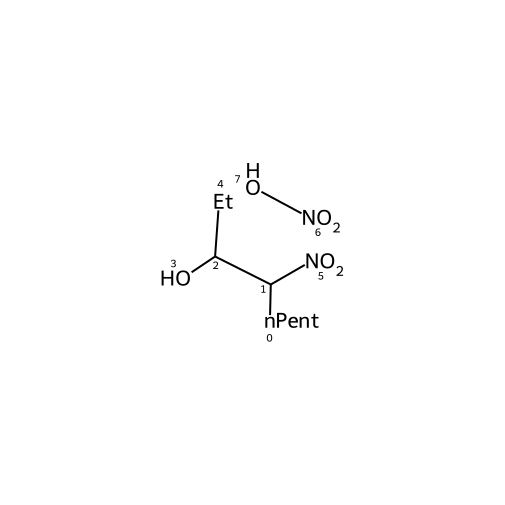 CCCCCC(C(O)CC)[N+](=O)[O-].O=[N+]([O-])O